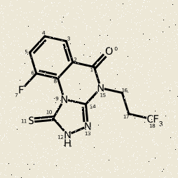 O=c1c2cccc(F)c2n2c(=S)[nH]nc2n1CCC(F)(F)F